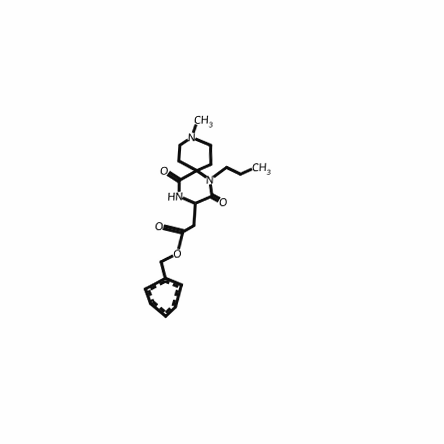 CCCN1C(=O)C(CC(=O)OCc2ccccc2)NC(=O)C12CCN(C)CC2